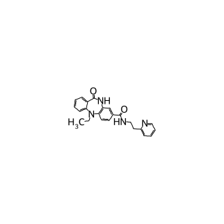 CCN1c2ccc(C(=O)NCCc3ccccn3)cc2NC(=O)c2ccccc21